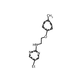 CCc1cnc(NCCOc2ccc(C)cc2)nc1